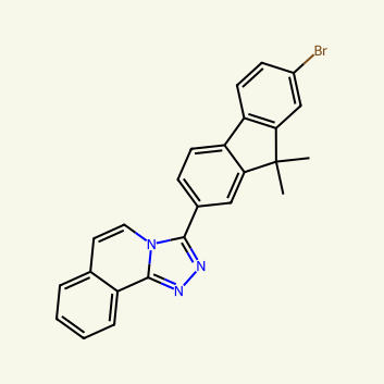 CC1(C)c2cc(Br)ccc2-c2ccc(-c3nnc4c5ccccc5ccn34)cc21